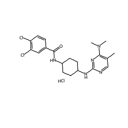 Cc1cnc(NC2CCC(NC(=O)c3ccc(Cl)c(Cl)c3)CC2)nc1N(C)C.Cl